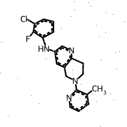 Cc1cccnc1N1CCc2ncc(Nc3cccc(Cl)c3F)cc2C1